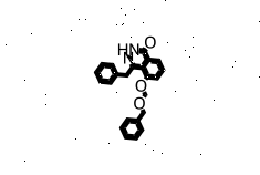 O=c1[nH]nc(Cc2ccccc2)c2c(OCOCc3ccccc3)cccc12